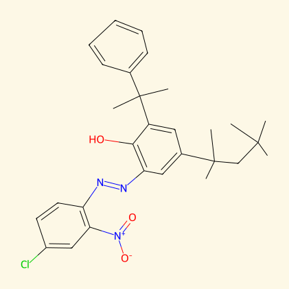 CC(C)(C)CC(C)(C)c1cc(/N=N/c2ccc(Cl)cc2[N+](=O)[O-])c(O)c(C(C)(C)c2ccccc2)c1